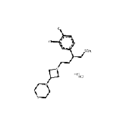 CNC[C@@H](CCN1CC(N2CCSCC2)C1)c1ccc(Cl)c(Cl)c1.Cl.Cl